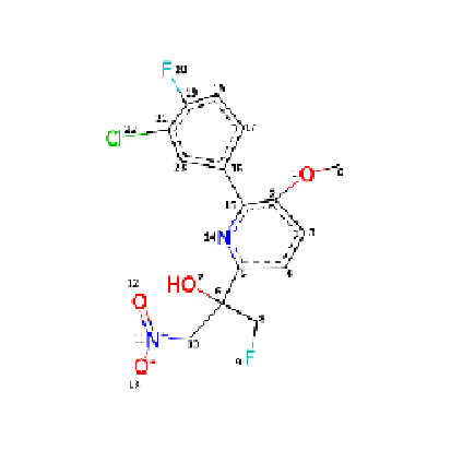 COc1ccc(C(O)(CF)C[N+](=O)[O-])nc1-c1ccc(F)c(Cl)c1